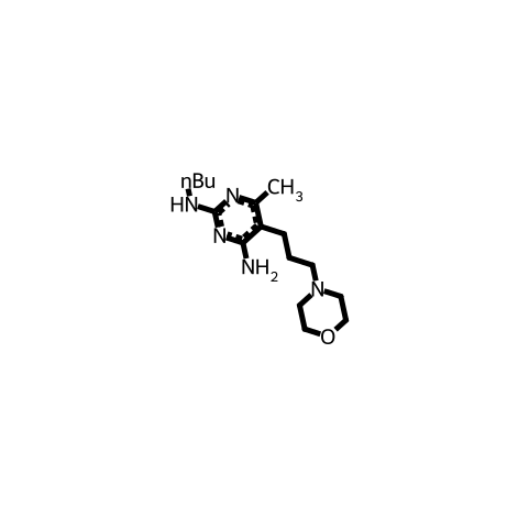 CCCCNc1nc(C)c(CCCN2CCOCC2)c(N)n1